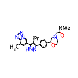 CNC(=O)CN1CCOC(c2ccc(-c3n[nH]c(-c4cc(C)c5ncnn5c4)c3C(C)C)cc2)C1